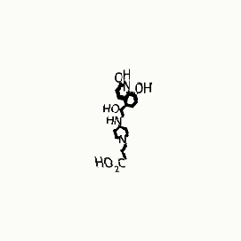 O=C(O)CCCN1CCC(NC[C@@H](O)c2ccc(O)c3[nH]c(=O)ccc23)CC1